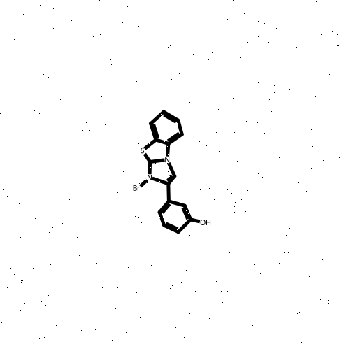 Oc1cccc(C2=CN3c4ccccc4SC3N2Br)c1